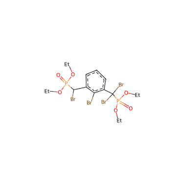 CCOP(=O)(OCC)C(Br)c1cccc(C(Br)(Br)P(=O)(OCC)OCC)c1Br